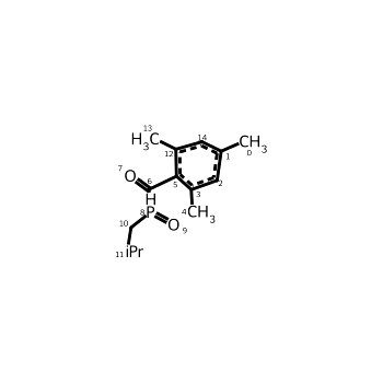 Cc1cc(C)c(C(=O)[PH](=O)CC(C)C)c(C)c1